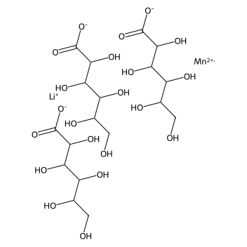 O=C([O-])C(O)C(O)C(O)C(O)CO.O=C([O-])C(O)C(O)C(O)C(O)CO.O=C([O-])C(O)C(O)C(O)C(O)CO.[Li+].[Mn+2]